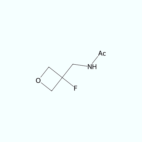 CC(=O)NCC1(F)COC1